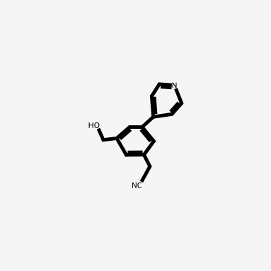 N#CCc1cc(CO)cc(-c2ccncc2)c1